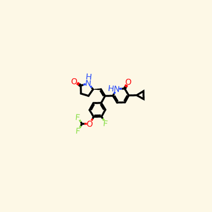 O=C1CC[C@H](/C=C(\c2ccc(OC(F)F)c(F)c2)c2ccc(C3CC3)c(=O)[nH]2)N1